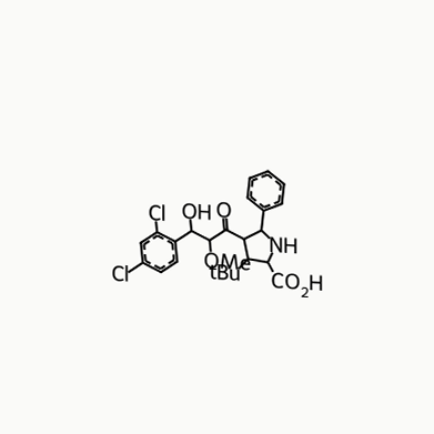 COC(C(=O)C1C(c2ccccc2)NC(C(=O)O)C1C(C)(C)C)C(O)c1ccc(Cl)cc1Cl